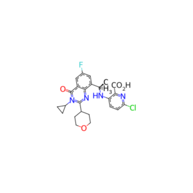 C[C@@H](Nc1ccc(Cl)nc1C(=O)O)c1cc(F)cc2c(=O)n(C3CC3)c(C3CCOCC3)nc12